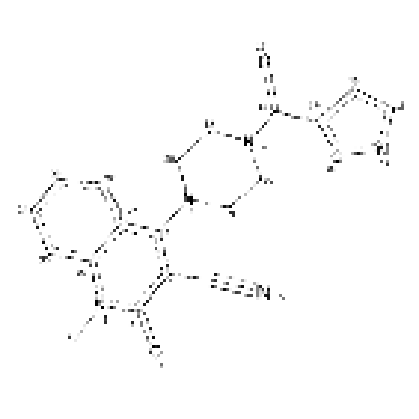 Cn1c(=O)c(C#N)c(N2CCN(C(=O)c3ccno3)CC2)c2ccccc21